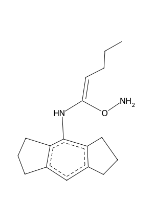 CCC/C=C(/Nc1c2c(cc3c1CCC3)CCC2)ON